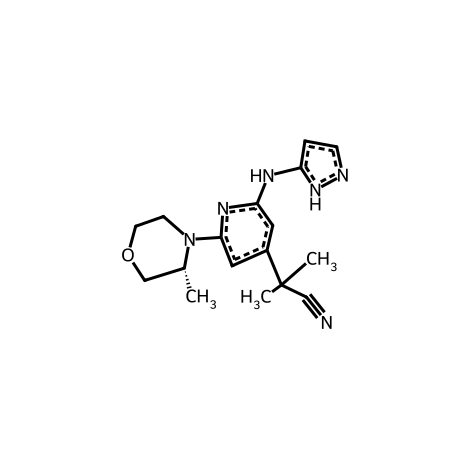 C[C@@H]1COCCN1c1cc(C(C)(C)C#N)cc(Nc2ccn[nH]2)n1